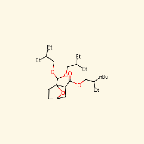 CCCCC(CC)COC(=O)C1CC2C=CC1(C(OCC(CC)CC)OCC(CC)CC)O2